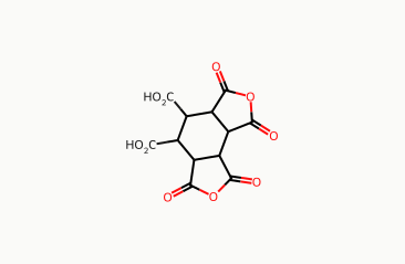 O=C(O)C1C(C(=O)O)C2C(=O)OC(=O)C2C2C(=O)OC(=O)C12